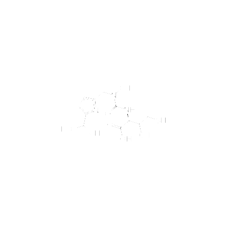 CC(C)c1nc(CN(C)C(=O)N[C@H](C(=O)O)C(C)CS)cs1